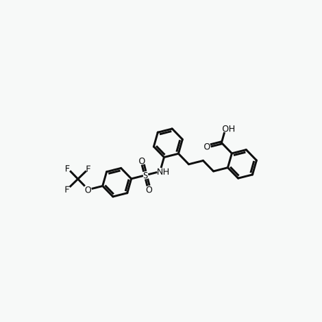 O=C(O)c1ccccc1CCCc1ccccc1NS(=O)(=O)c1ccc(OC(F)(F)F)cc1